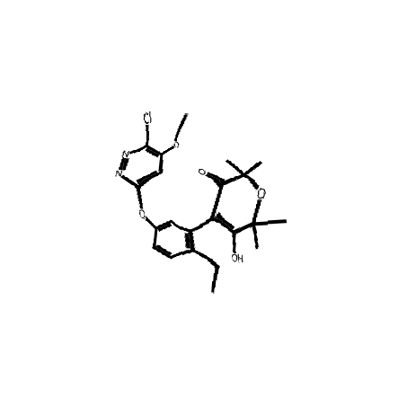 CCc1ccc(Oc2cc(OC)c(Cl)nn2)cc1C1=C(O)C(C)(C)OC(C)(C)C1=O